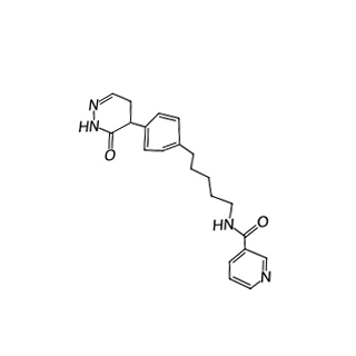 O=C(NCCCCCc1ccc(C2CC=NNC2=O)cc1)c1cccnc1